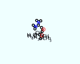 CCC(C)(C)Oc1c(-c2ccccc2)cc(C(C)(CC)CC)cc1-c1ccc2oc3ccc(-c4cc(-n5c6ccccc6c6ccccc65)cc(-n5c6ccccc6c6ccccc65)c4)cc3c2c1